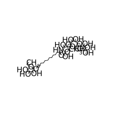 CCC1O[C@@H](OCCCCCCCCCCCC(=O)N[C@H]2C(CO)O[C@@H](C)C(O[C@@H]3OC(C)[C@H](O[C@@H]4OC[C@@H](O)C(O)C4O)C(O)C3O)C2O)C(O)C(O)[C@H]1O